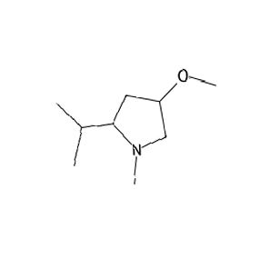 COC1CC(C(C)C)N(C)C1